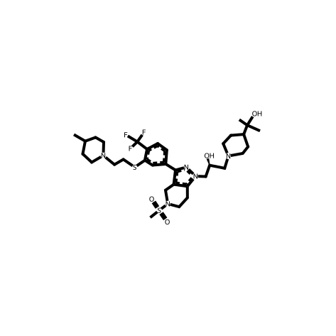 CC1CCN(CCSc2cc(-c3nn(C[C@@H](O)CN4CCC(C(C)(C)O)CC4)c4c3CN(S(C)(=O)=O)CC4)ccc2C(F)(F)F)CC1